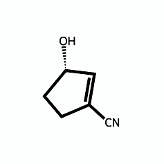 N#CC1=C[C@@H](O)CC1